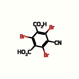 N#Cc1c(Br)c(C(=O)O)c(Br)c(C(=O)O)c1Br